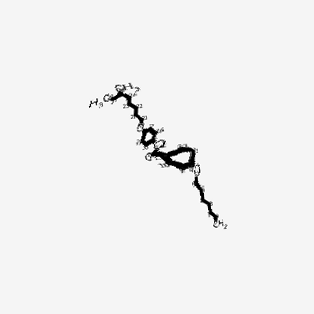 C=CCCCCCOc1ccc(C(=O)Oc2ccc(OCCCCCC(C)CC)cc2)cc1